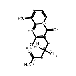 Cc1cccn2c(=O)c(CC(C)(C)CC(N)=O)c(Cl)nc12